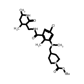 Cc1c(C(=O)NCC2C(=O)NC(C)CC2C)cc(Cl)cc1N(C)CC1CCN(C(=O)OC(C)(C)C)CC1